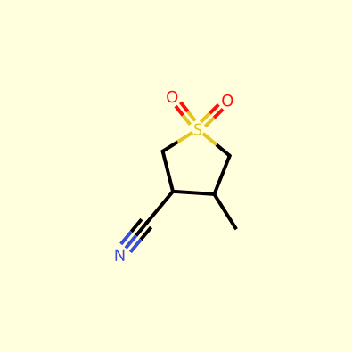 CC1CS(=O)(=O)CC1C#N